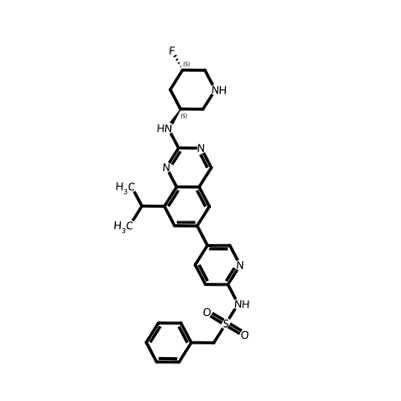 CC(C)c1cc(-c2ccc(NS(=O)(=O)Cc3ccccc3)nc2)cc2cnc(N[C@@H]3CNC[C@@H](F)C3)nc12